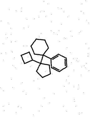 [c]1ccc(C2(C3(C4CCC4)CCCC3)CCCCC2)cc1